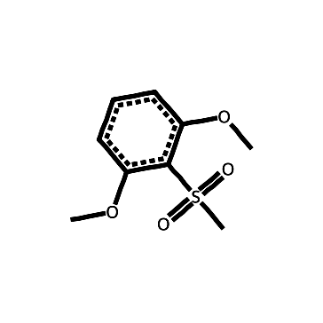 COc1cccc(OC)c1S(C)(=O)=O